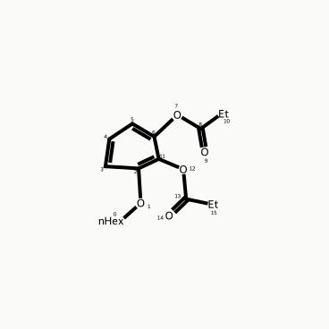 CCCCCCOc1cccc(OC(=O)CC)c1OC(=O)CC